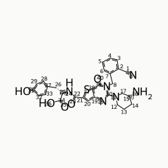 N#Cc1ccccc1Cn1c(N2CCC[C@@H](N)C2)nc2cc(C(=O)N[C@@H](Cc3ccc(O)cc3)C(=O)O)sc2c1=O